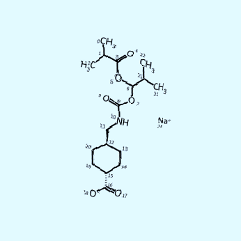 CC(C)C(=O)OC(OC(=O)NC[C@H]1CC[C@H](C(=O)[O-])CC1)C(C)C.[Na+]